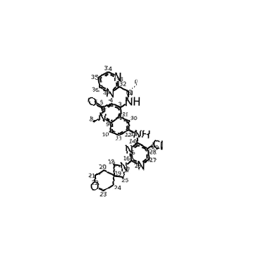 C[C@H](Nc1cc(=O)n(C)c2ccc(Nc3nc(N4CC5(CCOCC5)C4)ncc3Cl)cc12)c1ncccn1